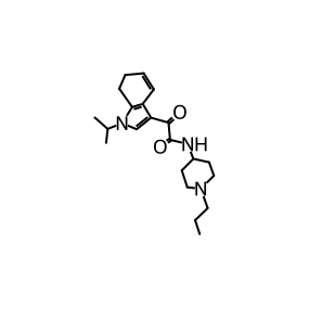 CCCN1CCC(NC(=O)C(=O)c2cn(C(C)C)c3c2C=CCC3)CC1